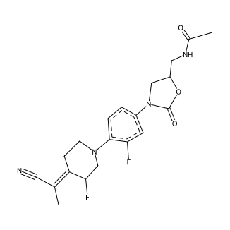 CC(=O)NCC1CN(c2ccc(N3CC/C(=C(/C)C#N)C(F)C3)c(F)c2)C(=O)O1